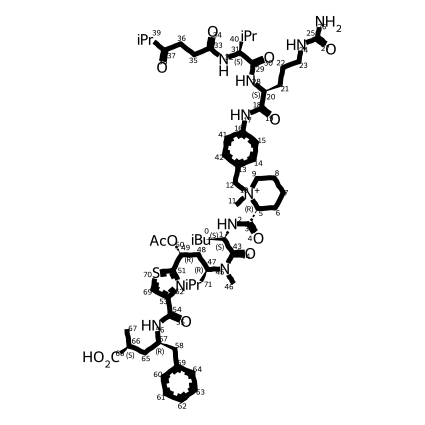 CC[C@H](C)[C@H](NC(=O)[C@H]1CCCC[N+]1(C)Cc1ccc(NC(=O)[C@H](CCCNC(N)=O)NC(=O)[C@@H](NC(=O)CCC(=O)C(C)C)C(C)C)cc1)C(=O)N(C)[C@H](C[C@@H](OC(C)=O)c1nc(C(=O)N[C@@H](Cc2ccccc2)C[C@H](C)C(=O)O)cs1)C(C)C